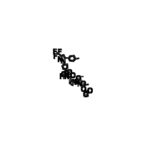 COC(=O)OC(C)ON=[N+]([O-])N1CC[C@H]1C(=O)NS(=O)(=O)c1ccc(-n2nc(C(F)(F)F)cc2-c2ccc(C)cc2)cc1